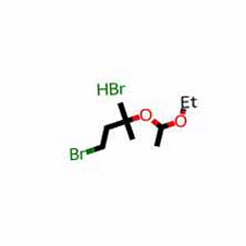 Br.CCOC(C)OC(C)(C)CCBr